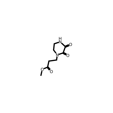 COC(=O)CCN1CCNC(=O)C1=O